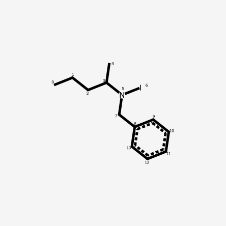 CCCC(C)N(I)Cc1ccccc1